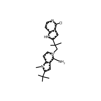 Cn1c(C(C)(C)C)cc2c(N)[n+](CC(C)(C)c3cc4c(Cl)nccc4[nH]3)ccc21